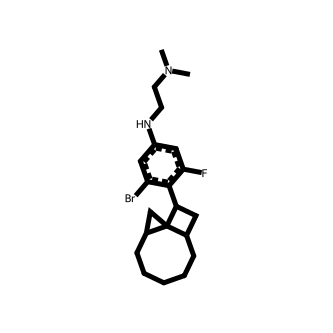 CN(C)CCNc1cc(F)c(C2CC3CCCCCC4CC342)c(Br)c1